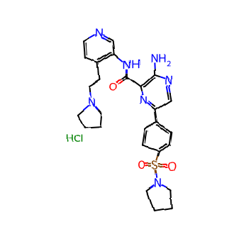 Cl.Nc1ncc(-c2ccc(S(=O)(=O)N3CCCC3)cc2)nc1C(=O)Nc1cnccc1CCN1CCCC1